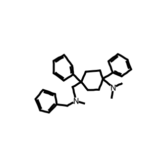 CN(Cc1ccccc1)CC1(c2ccccc2)CCC(c2ccccc2)(N(C)C)CC1